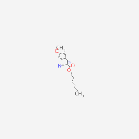 CCCCCCCCOC(=O)/C(C#N)=C/c1ccc(OC)cc1